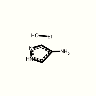 CCO.Nc1cn[nH]c1